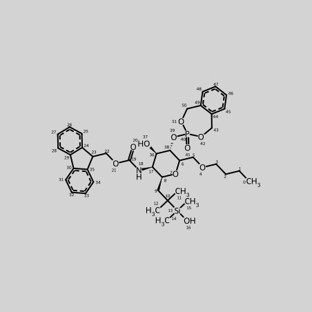 CCCCOCC1O[C@@H](CC(C)(C)[Si](C)(C)O)[C@@H](NC(=O)OCC2c3ccccc3-c3ccccc32)[C@@H](O)[C@@H]1OP1(=O)OCc2ccccc2CO1